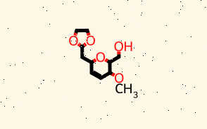 COC1C=CC(CC2OCCO2)OC1CO